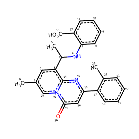 Cc1cc(C(C)Nc2ccccc2C(=O)O)c2nc(-c3ccccc3C#N)cc(=O)n2c1